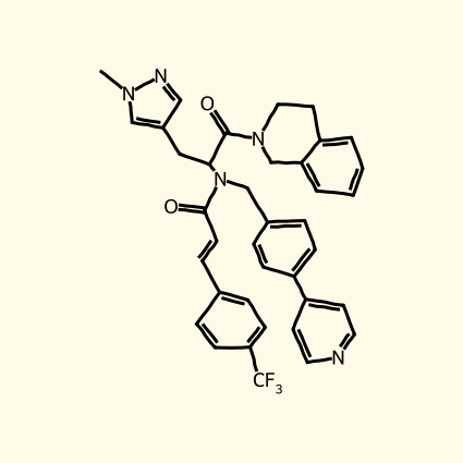 Cn1cc(CC(C(=O)N2CCc3ccccc3C2)N(Cc2ccc(-c3ccncc3)cc2)C(=O)/C=C/c2ccc(C(F)(F)F)cc2)cn1